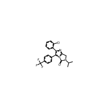 CC(C)N1Cc2nc(-c3ccccc3Cl)c(-c3ccc(C(F)(F)F)cc3)n2C1=O